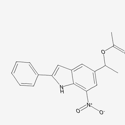 CC(=O)OC(C)c1cc([N+](=O)[O-])c2[nH]c(-c3ccccc3)cc2c1